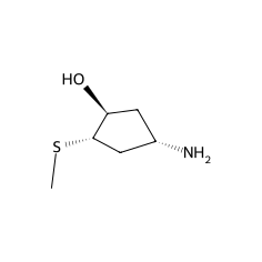 CS[C@H]1C[C@@H](N)C[C@@H]1O